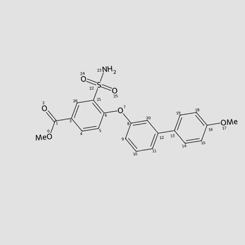 COC(=O)c1ccc(Oc2cccc(-c3ccc(OC)cc3)c2)c(S(N)(=O)=O)c1